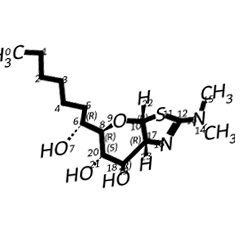 CCCCCC[C@@H](O)[C@H]1O[C@@H]2SC(N(C)C)=N[C@@H]2[C@@H](O)[C@@H]1O